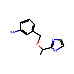 CC(OCc1cccc(N)c1)c1ncc[nH]1